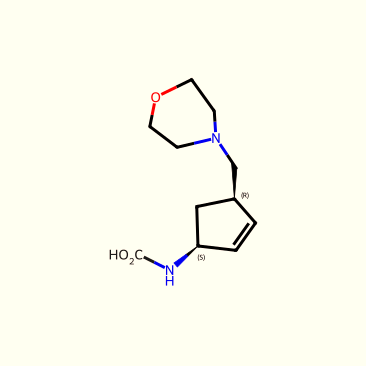 O=C(O)N[C@@H]1C=C[C@H](CN2CCOCC2)C1